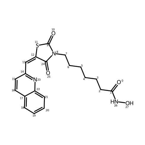 O=C(CCCCCCN1C(=O)SC(=Cc2ccc3ccccc3n2)C1=O)NO